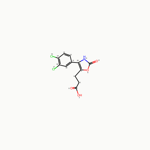 O=C(O)CCc1oc(=O)[nH]c1-c1ccc(Cl)c(Cl)c1